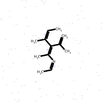 C=C(C)C(/C(C)=C\C)=C(C)\N=C/C